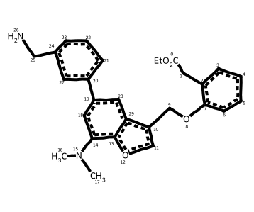 CCOC(=O)Cc1ccccc1OCc1coc2c(N(C)C)cc(-c3cccc(CN)c3)cc12